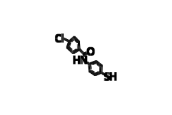 O=C(Nc1ccc(S)cc1)c1ccc(Cl)cc1